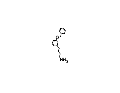 NCCCCc1cccc(OCc2ccccc2)c1